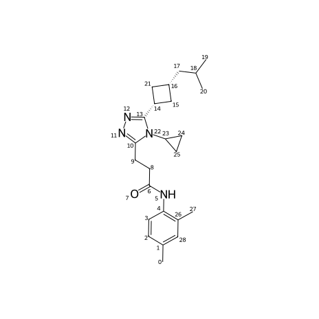 Cc1ccc(NC(=O)CCc2nnc([C@H]3C[C@@H](CC(C)C)C3)n2C2CC2)c(C)c1